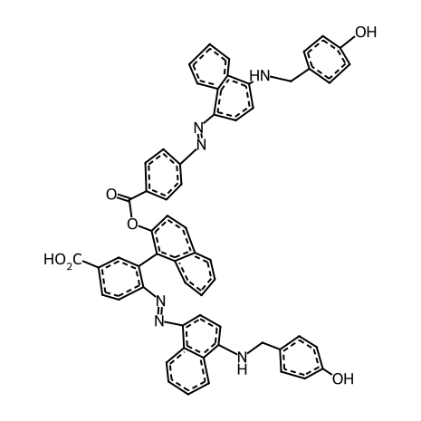 O=C(O)c1ccc(/N=N/c2ccc(NCc3ccc(O)cc3)c3ccccc23)c(-c2c(OC(=O)c3ccc(/N=N/c4ccc(NCc5ccc(O)cc5)c5ccccc45)cc3)ccc3ccccc23)c1